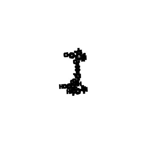 Cc1ncsc1-c1ccc(C(C)NC(=O)[C@@H]2C[C@@H](O)CN2C(=O)[C@@H](NC(=O)CN2CCN(C3CC4(C3)CN(C(=O)C[C@@H]3N=C(c5ccc(Cl)cc5)c5c(sc(C)c5C)-n5c(C)nnc53)C4)[C@H](C)C2)C(C)(C)C)cc1